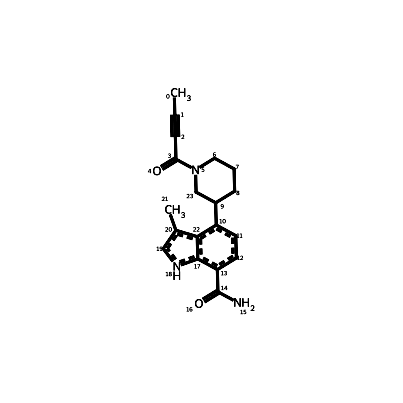 CC#CC(=O)N1CCCC(c2ccc(C(N)=O)c3[nH]cc(C)c23)C1